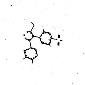 Cc1cc(-c2noc(CO)c2-c2cc(F)c(S(C)(=O)=O)cc2F)ccc1F